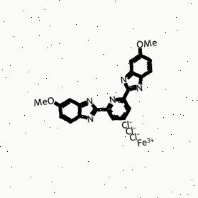 COC1=CC2=NC(c3cccc(C4=NC5C=CC(OC)=CC5=N4)n3)=NC2C=C1.[Cl-].[Cl-].[Cl-].[Fe+3]